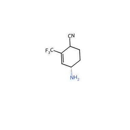 N#CC1CC[C@H](N)C=C1C(F)(F)F